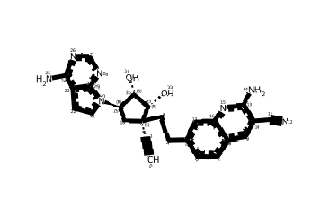 C#C[C@]1(CCc2ccc3cc(C#N)c(N)nc3c2)C[C@@H](n2ccc3c(N)ncnc32)[C@H](O)[C@@H]1O